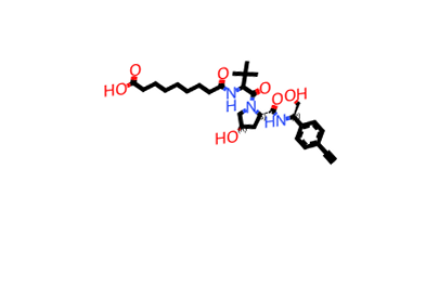 C#Cc1ccc([C@H](CO)NC(=O)[C@@H]2C[C@@H](O)CN2C(=O)C(NC(=O)CCCCCCCC(=O)O)C(C)(C)C)cc1